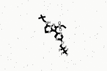 CCS(=O)(=O)c1nn2c(NCC(C)(C)C)ccnc2c1-c1cnc(OCC(F)(F)C(F)(F)F)cn1